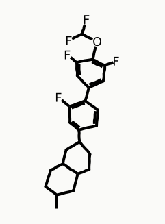 CC1CCC2CC(c3ccc(-c4cc(F)c(OC(F)F)c(F)c4)c(F)c3)CCC2C1